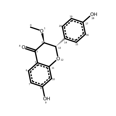 CO[C@@H]1C(=O)c2ccc(O)cc2O[C@H]1c1ccc(O)cc1